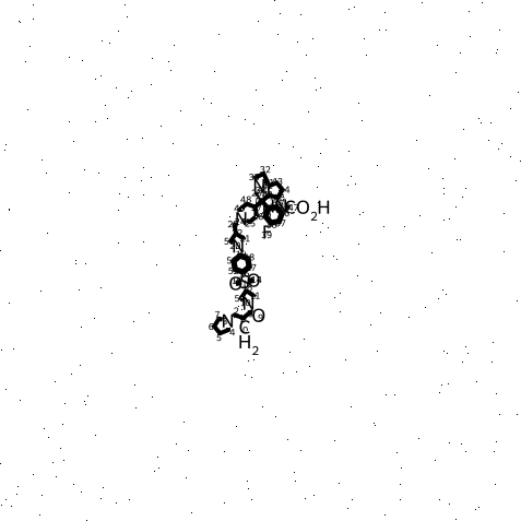 C=C(CN1CCCC1)C(=O)N1CC(S(=O)(=O)c2ccc(N3CC(CN4CCC([C@@](CN5CCC5)(c5cccc(F)c5)[C@H]5CCC[C@@H]5NC(=O)O)CC4)C3)cc2)C1